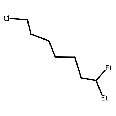 CCC(CC)CCCCCCCl